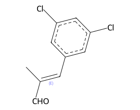 C/C(C=O)=C\c1cc(Cl)cc(Cl)c1